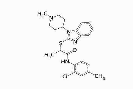 Cc1ccc(NC(=O)C(C)Sc2nc3ccccc3n2C2CCN(C)CC2)c(Cl)c1